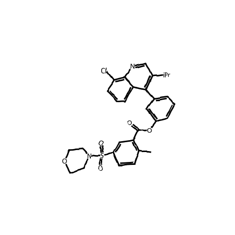 Cc1ccc(S(=O)(=O)N2CCOCC2)cc1C(=O)Oc1cccc(-c2c(C(C)C)cnc3c(Cl)cccc23)c1